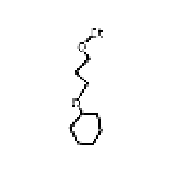 CCOCCCOC1CCCCC1